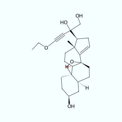 CCOC#CC(O)(CO)[C@H]1CC=C2[C@]1(C)CC[C@@H]1[C@@]34CC[C@H](O)C[C@@H]3CC[C@@]21OC4